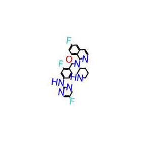 O=C(c1ccc(Nc2ncc(F)cn2)cc1F)N(c1nccc2cc(F)ccc12)[C@@H]1CCCNC1